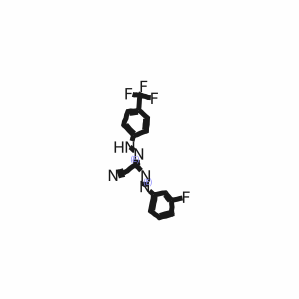 N#CC(/N=N/c1cccc(F)c1)=N\Nc1ccc(C(F)(F)F)cc1